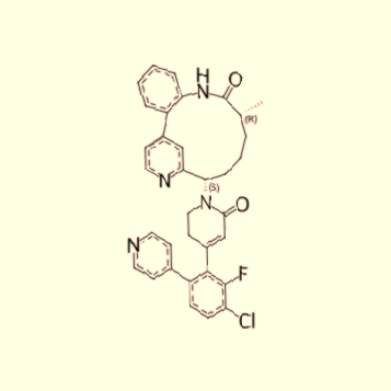 C[C@@H]1CCC[C@H](N2CCC(c3c(-c4ccncc4)ccc(Cl)c3F)=CC2=O)c2cc(ccn2)-c2ccccc2NC1=O